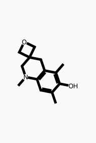 Cc1cc2c(c(C)c1O)CC1(COC1)CN2C